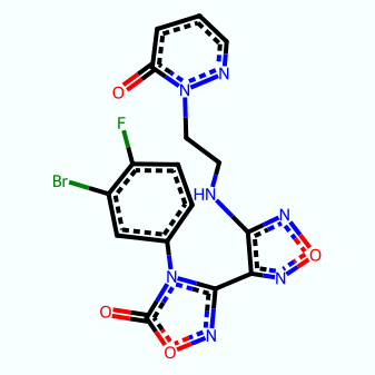 O=c1cccnn1CCNc1nonc1-c1noc(=O)n1-c1ccc(F)c(Br)c1